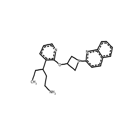 CCC(CCN)c1cccnc1OC1CN(c2ccc3ccccc3n2)C1